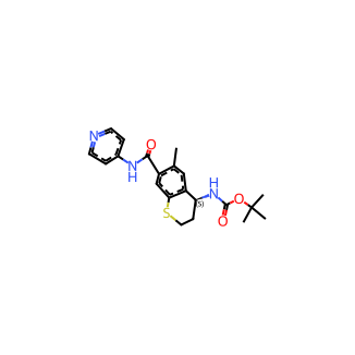 Cc1cc2c(cc1C(=O)Nc1ccncc1)SCC[C@@H]2NC(=O)OC(C)(C)C